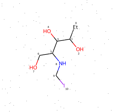 CCC(O)C(O)C(CO)NCI